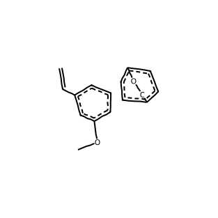 C=Cc1cccc(OC)c1.c1cc2ccc1CO2